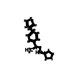 CC(CNC1CCCC1)c1ccc(-c2ccsc2)cc1